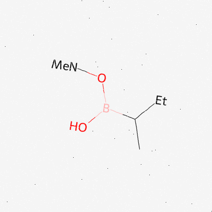 CCC(C)B(O)ONC